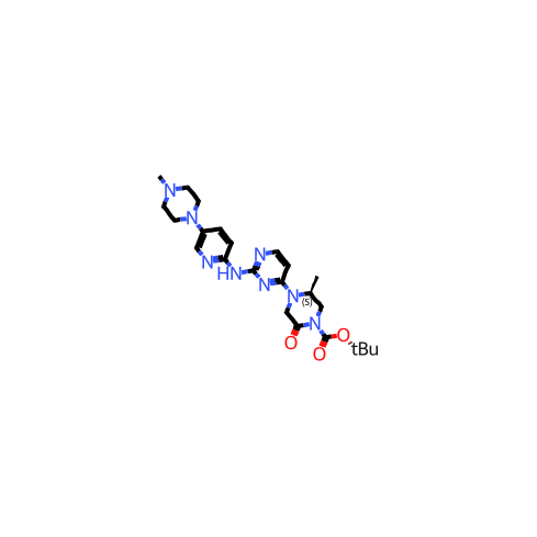 C[C@H]1CN(C(=O)OC(C)(C)C)C(=O)CN1c1ccnc(Nc2ccc(N3CCN(C)CC3)cn2)n1